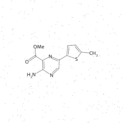 COC(=O)c1nc(-c2ccc(C)s2)cnc1N